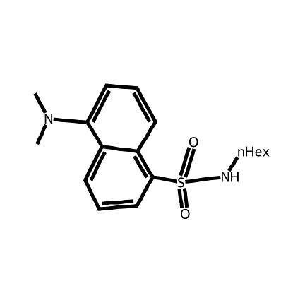 CCCCCCNS(=O)(=O)c1cccc2c(N(C)C)cccc12